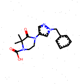 CC1(C)C(=O)N(c2cnn(Cc3ccccc3)c2)CCN1C(=O)O